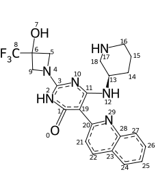 O=c1[nH]c(N2CC(O)(C(F)(F)F)C2)nc(N[C@@H]2CCCNC2)c1-c1ccc2ccccc2n1